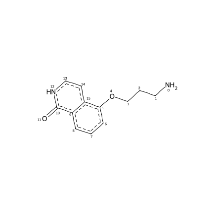 NCCCOc1cccc2c(=O)[nH]ccc12